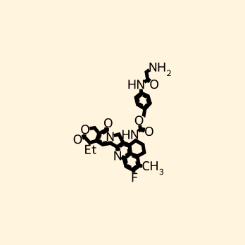 CC[C@H]1C(=O)OCc2c1cc1n(c2=O)Cc2c-1nc1cc(F)c(C)c3c1c2[C@@H](NC(=O)OCc1ccc(NC(=O)CN)cc1)CC3